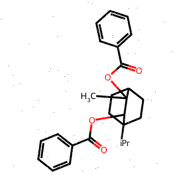 CC(C)C12CCC(CC1)C(C)(OC(=O)c1ccccc1)C2OC(=O)c1ccccc1